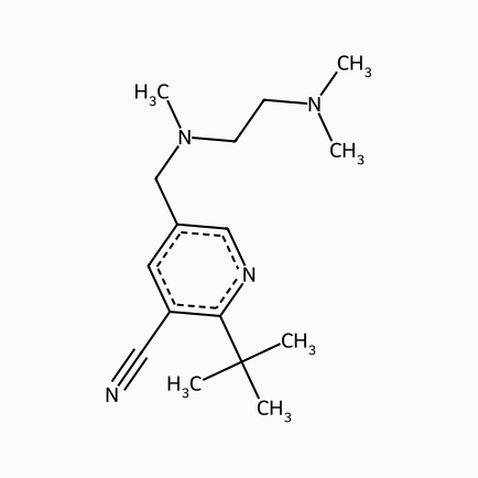 CN(C)CCN(C)Cc1cnc(C(C)(C)C)c(C#N)c1